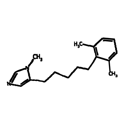 Cc1cccc(C)c1CCCCCc1cncn1C